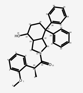 COc1ccccc1[C@H](C)C(=O)N1CC2C(O)CCC(c3ccccc3)(c3ccccc3)C2C1